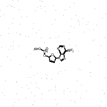 CO[PH](=O)OC1C=CC(n2cnc3c(N)ncnc32)O1